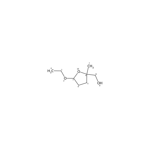 CCOC1CCC(C)(CO)O1